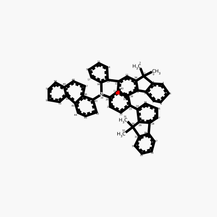 CC1(C)c2ccccc2-c2ccc(-c3ccccc3N(c3ccc(-c4cccc5c4C(C)(C)c4ccccc4-5)cc3)c3cccc4c3ccc3ccccc34)cc21